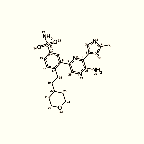 Cc1ncc(-c2nc(-c3cc(S(N)(=O)=O)ccc3CCC3CCOCC3)cnc2N)s1